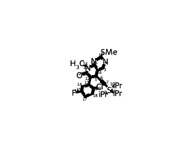 CSc1ncc2c(C#C[Si](C(C)C)(C(C)C)C(C)C)c(-c3cc(F)ccc3Cl)c(=O)n(C)c2n1